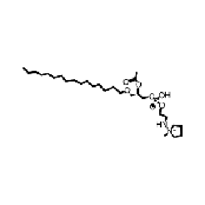 CCCCCCCCCCCCCCCCOC[C@H](COP(=O)(O)OCCN[N+]1(C)CCCC1)OC(C)=O